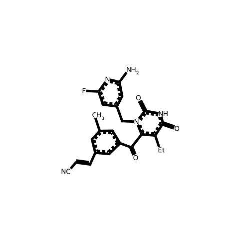 CCc1c(C(=O)c2cc(C)cc(/C=C/C#N)c2)n(Cc2cc(N)nc(F)c2)c(=O)[nH]c1=O